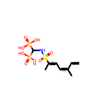 C=C/C(C)=C\C=C(/C)S(=O)(=O)NC(P(=O)(O)O)P(=O)(O)O